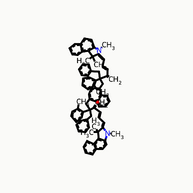 C=C(/C=C/C=C1/N(C)c2ccc3ccccc3c2C1(C)C)C(Cc1ccccc1)(Cc1ccc(CC(Cc2ccccc2)(C(=C)/C=C/C=C2/N(C)c3ccc4ccccc4c3C2(C)C)c2ccccc2C)c2ccccc12)c1ccccc1C